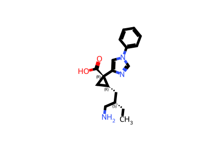 CC[C@H](CN)C[C@@H]1C[C@]1(C(=O)O)c1cn(-c2ccccc2)cn1